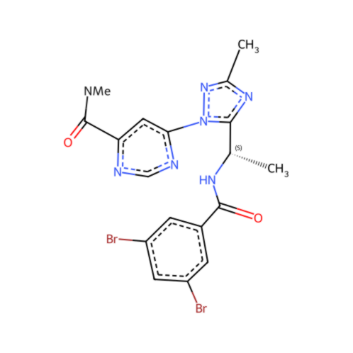 CNC(=O)c1cc(-n2nc(C)nc2[C@H](C)NC(=O)c2cc(Br)cc(Br)c2)ncn1